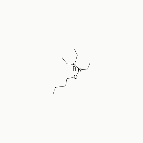 CCCCON(CC)[SiH](CC)CC